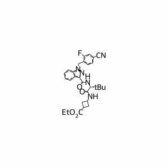 CCOC(=O)[C@H]1C[C@@H](NC(=O)[C@@H](NC(=O)c2nn(Cc3ccc(C#N)cc3F)c3ccccc23)C(C)(C)C)C1